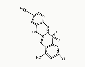 N#Cc1ccc(F)c(NC2=Nc3c(O)cc(Cl)cc3S(=O)(=O)N2)c1